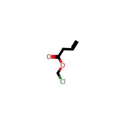 C=CCC(=O)OCCl